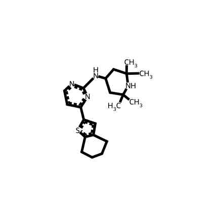 CC1(C)CC(Nc2nccc(-c3cc4c(s3)CCCC4)n2)CC(C)(C)N1